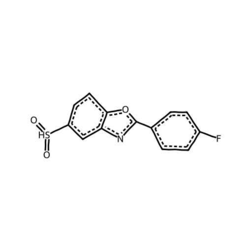 O=[SH](=O)c1ccc2oc(-c3ccc(F)cc3)nc2c1